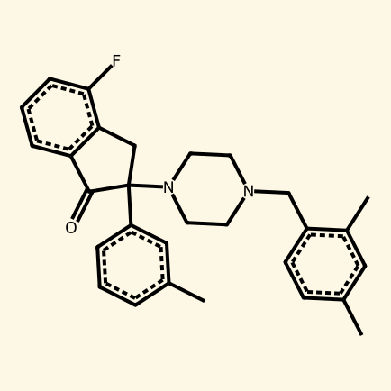 Cc1cccc(C2(N3CCN(Cc4ccc(C)cc4C)CC3)Cc3c(F)cccc3C2=O)c1